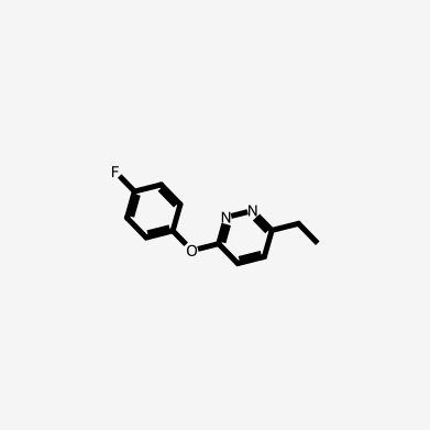 CCc1ccc(Oc2ccc(F)cc2)nn1